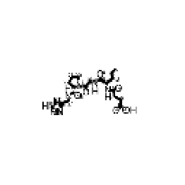 CC[C@H](C)[C@H](NC(=O)CCC(=O)O)C(=O)NCC(=O)N1CCC[C@H]1C(=O)NCc1nn[nH]n1